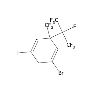 FC(F)(F)C1(C(F)(C(F)(F)F)C(F)(F)F)C=C(Br)[CH]C(I)=C1